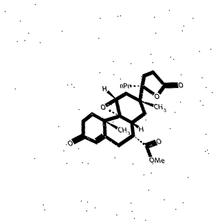 CCC[C@]1([C@]2(C)C[C@@H]3[C@H](C(=O)OC)CC4=CC(=O)CC[C@]4(C)[C@]34O[C@@H]4C2)CCC(=O)O1